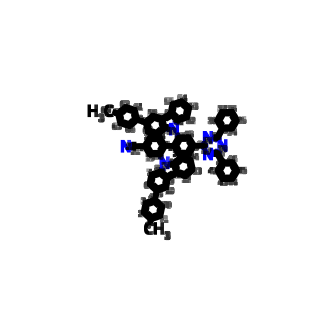 Cc1ccc(-c2ccc3c(c2)c2ccccc2n3-c2cc(C#N)ccc2-c2ccc(-c3nc(-c4ccccc4)nc(-c4ccccc4)n3)cc2-n2c3ccccc3c3cc(-c4ccc(C)cc4)ccc32)cc1